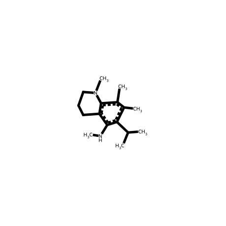 CNc1c2c(c(C)c(C)c1C(C)C)N(C)CCC2